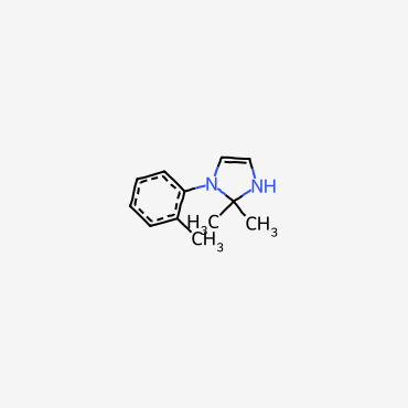 Cc1ccccc1N1C=CNC1(C)C